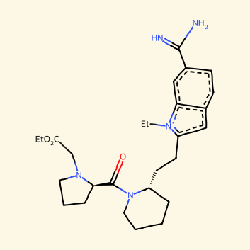 CCOC(=O)CN1CCC[C@@H]1C(=O)N1CCCC[C@H]1CCc1cc2ccc(C(=N)N)cc2n1CC